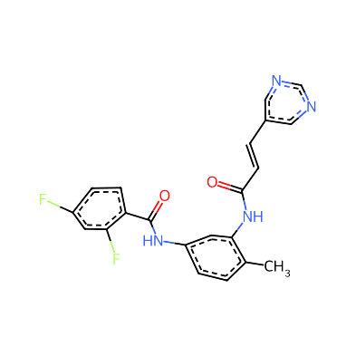 Cc1ccc(NC(=O)c2ccc(F)cc2F)cc1NC(=O)C=Cc1cncnc1